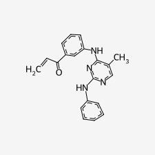 C=CC(=O)c1cccc(Nc2nc(Nc3ccccc3)ncc2C)c1